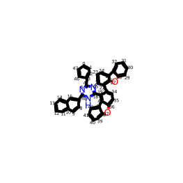 c1ccc(C2=NC(c3ccc4ccccc4c3)NC(c3c(-c4cccc5c4oc4ccccc45)ccc4oc5ccccc5c34)=N2)cc1